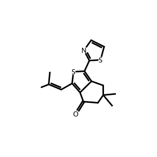 CC(C)=Cc1sc(-c2nccs2)c2c1C(=O)CC(C)(C)C2